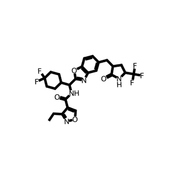 CCc1nocc1C(=O)NC(c1nc2cc(CC3CC(C(F)(F)F)NC3=O)ccc2o1)C1CCC(F)(F)CC1